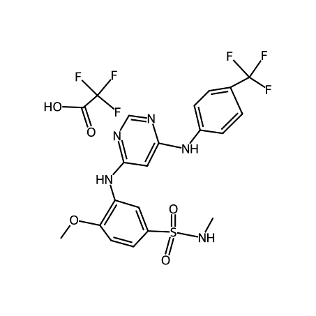 CNS(=O)(=O)c1ccc(OC)c(Nc2cc(Nc3ccc(C(F)(F)F)cc3)ncn2)c1.O=C(O)C(F)(F)F